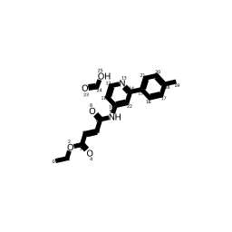 CCOC(=O)/C=C/C(=O)Nc1ccnc(-c2ccc(C)cc2)c1.O=CO